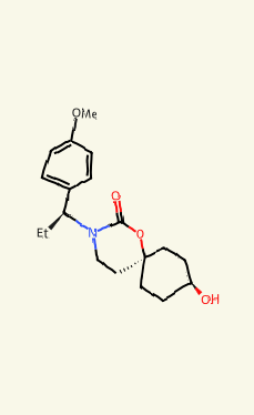 CC[C@@H](c1ccc(OC)cc1)N1CC[C@]2(CC[C@H](O)CC2)OC1=O